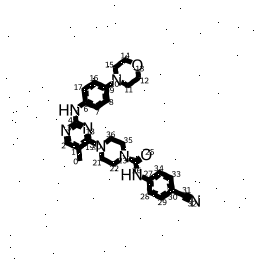 Cc1cnc(Nc2ccc(N3CCOCC3)cc2)nc1N1CCN(C(=O)Nc2ccc(C#N)cc2)CC1